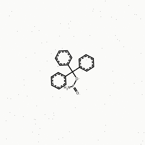 N[P](=O)OC(c1ccccc1)(c1ccccc1)c1ccccc1